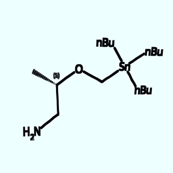 CCC[CH2][Sn]([CH2]CCC)([CH2]CCC)[CH2]O[C@@H](C)CN